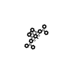 Cc1c2c3c4c5c1Sc1cc(N(c6ccccc6)c6ccccc6)ccc1B5c1cccc5c6cccc(c6n-4c15)B3c1ccc(N(c3ccccc3)c3ccccc3)cc1S2